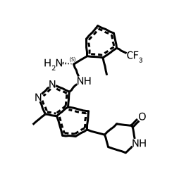 Cc1c([C@@H](N)Nc2nnc(C)c3ccc(C4CCNC(=O)C4)cc23)cccc1C(F)(F)F